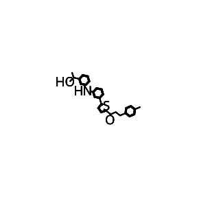 Cc1ccc(CCC(=O)c2ccc(-c3cccc(Nc4cccc(C(C)O)c4)c3)s2)cc1